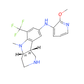 COc1ncccc1Nc1cc2c(c(C(F)(F)F)c1)N(C)[C@H]1CCNC[C@@H]21